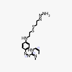 C/C=C\NC(/N=N\c1ccc(NCCSSCCN=NN)cc1)=N/C